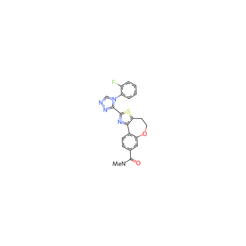 CNC(=O)c1ccc2c(c1)OCCc1sc(-c3nncn3-c3ccccc3F)nc1-2